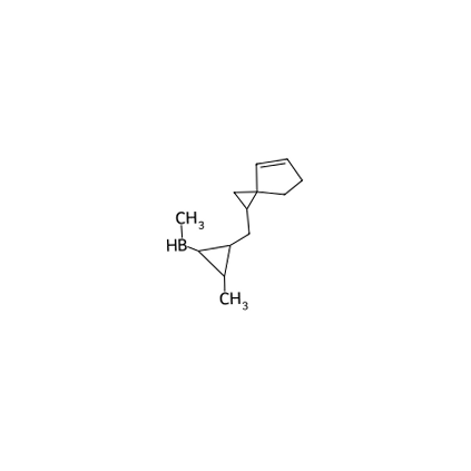 CBC1C(C)C1CC1CC12C=CCC2